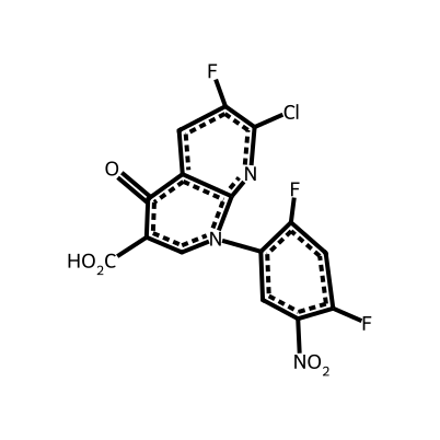 O=C(O)c1cn(-c2cc([N+](=O)[O-])c(F)cc2F)c2nc(Cl)c(F)cc2c1=O